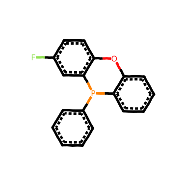 Fc1ccc2c(c1)P(c1ccccc1)c1ccccc1O2